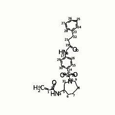 C=CC(=O)NC1CCCCN(S(=O)(=O)c2ccc(NC(=O)CCc3ccccc3)cc2)C1